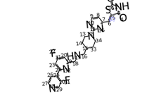 O=C1NC(=O)/C(=C/c2ccnc(N3CCC(CNCc4cc(F)cc(-c5ccncc5F)n4)CC3)n2)S1